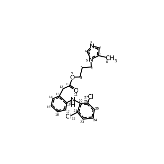 Cc1cncn1CCCOC(=O)Cc1ccccc1Nc1c(Cl)cccc1Cl